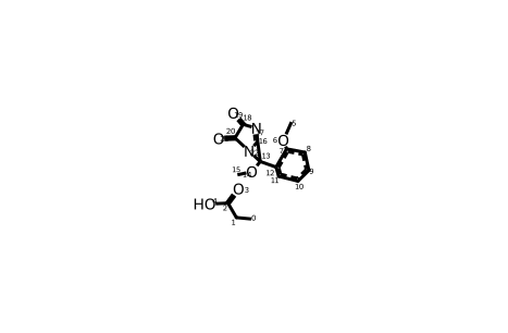 CCC(=O)O.COc1ccccc1C1(OC)C2=NC(=O)C(=O)N21